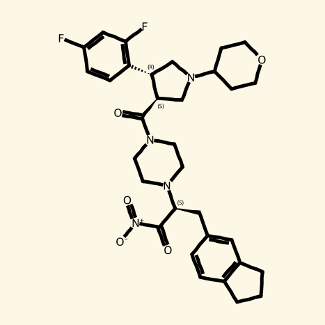 O=C([C@@H]1CN(C2CCOCC2)C[C@H]1c1ccc(F)cc1F)N1CCN([C@@H](Cc2ccc3c(c2)CCC3)C(=O)[N+](=O)[O-])CC1